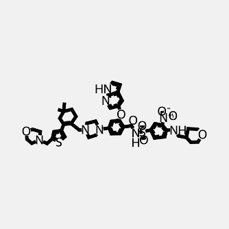 CC1(C)CCC(CN2CCN(c3ccc(C(=O)NS(=O)(=O)c4ccc(NCC5CCOCC5)c([N+](=O)[O-])c4)c(Oc4cnc5[nH]ccc5c4)c3)CC2)=C(c2csc(CN3CCOCC3)c2)C1